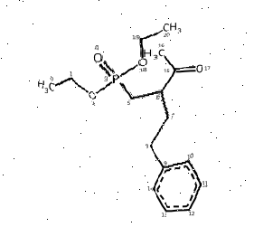 CCOP(=O)(CC(CCc1ccccc1)C(C)=O)OCC